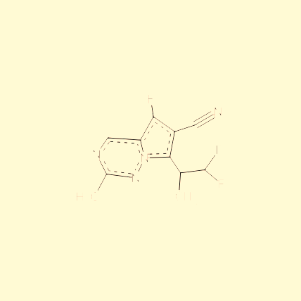 Cc1ncc2c(F)c(C#N)c(C(C)C(F)F)n2n1